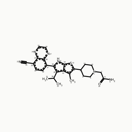 Cc1c(C2CCN(CC(N)=O)CC2)sc2[nH]c(-c3ccc(C#N)c4nccnc34)c(C(C)C)c12